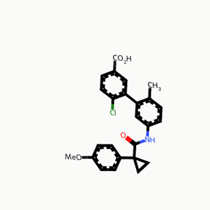 COc1ccc(C2(C(=O)Nc3ccc(C)c(-c4cc(C(=O)O)ccc4Cl)c3)CC2)cc1